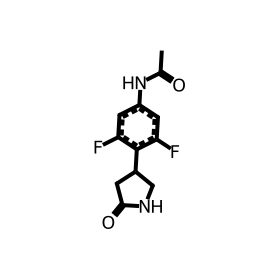 CC(=O)Nc1cc(F)c(C2CNC(=O)C2)c(F)c1